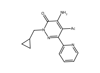 CC(=O)c1c(-c2ccccn2)nn(CC2CC2)c(=O)c1N